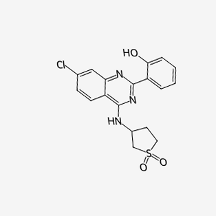 O=S1(=O)CCC(Nc2nc(-c3ccccc3O)nc3cc(Cl)ccc23)C1